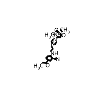 CCC(=O)c1ccc(NCCCN2CCN(c3cc(=O)n(C)c(=O)n3C)CC2)c(C#N)c1